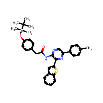 Cc1ccc(-c2cnc(NC(=O)Cc3ccc(O[Si](C)(C)C(C)(C)C)cc3)c(-c3cc4ccccc4s3)n2)cc1